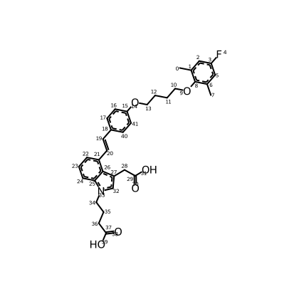 Cc1cc(F)cc(C)c1OCCCCOc1ccc(C=Cc2cccc3c2c(CC(=O)O)cn3CCCC(=O)O)cc1